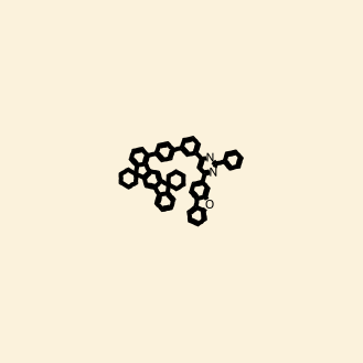 c1ccc(-c2nc(-c3cccc(-c4ccc(-c5cccc6c5-c5cc7c(cc5C65CCCCC5)-c5ccccc5C75CCCCC5)cc4)c3)cc(-c3ccc4c(c3)oc3ccccc34)n2)cc1